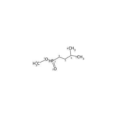 CO[PH](=O)CCC(C)C